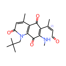 CNC1=C(/C(C)=C\C=O)C(=O)c2c(C)cc(=O)n(CC(C)(C)C)c2C1=O